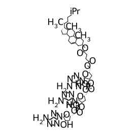 CC(C)CCC[C@@H](C)[C@H]1CCC2C3CC=C4CC(OC(=O)CCC(=O)OC[C@@H]5C[C@@H](OP(=O)(O)OC[C@@H]6C[C@@H](OP(=O)(O)OC[C@@H]7C[C@@H](O)[C@H](n8cnc9c(N)ncnc98)O7)[C@H](n7cnc8c(N)ncnc87)O6)[C@H](n6cnc7c(N)ncnc76)O5)CC[C@]4(C)C3CC[C@@]21C